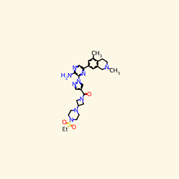 CCS(=O)(=O)N1CCN(C2CN(C(=O)c3cnn(-c4nc(-c5cc(C)c6c(c5)CN(C)CC6)cnc4N)c3)C2)CC1